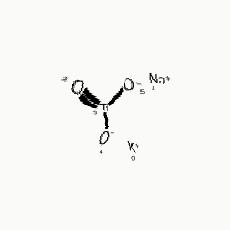 [K+].[Na+].[O]=[Ti]([O-])[O-]